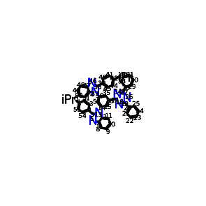 CC(C)c1ccc(-c2nc3ccccc3n2-c2cc(-c3nc(-c4ccccc4)nc(C4C=CC=CC4)n3)cc(-n3c(-c4ccc(C(C)C)cc4)nc4ccccc43)c2)cc1